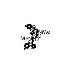 CNC(CC(Oc1ccc(C)cc1)c1cccs1)OC(=O)C(=O)OC(CC(Oc1ccc(C)cc1)c1cccs1)NC